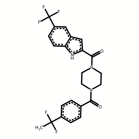 CC(F)(F)c1ccc(C(=O)N2CCN(C(=O)c3cc4cc(C(F)(F)F)ccc4[nH]3)CC2)cc1